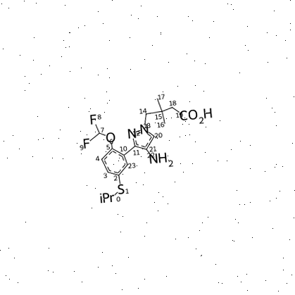 CC(C)Sc1ccc(OC(F)F)c(-c2nn(CC(C)(C)CC(=O)O)cc2N)c1